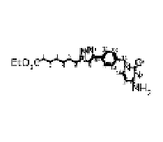 CCOC(=O)CCCCCCn1cc(-c2ccc(Cn3ccc(N)nc3=O)cc2)nn1